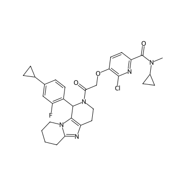 CN(C(=O)c1ccc(OCC(=O)N2CCc3nc4n(c3C2c2ccc(C3CC3)cc2F)CCCC4)c(Cl)n1)C1CC1